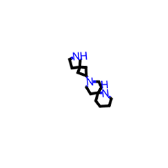 C1CCC2(CCN(C3CC4(CCNC4)C3)CC2)NC1